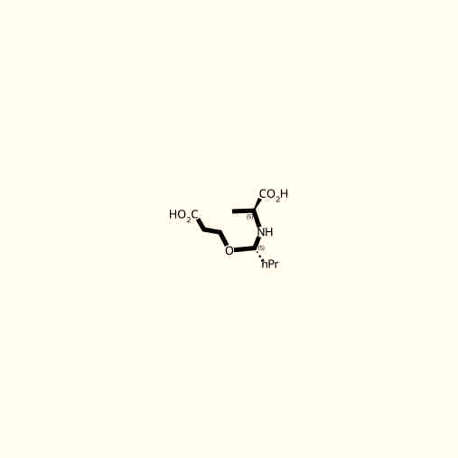 CCC[C@@H](N[C@@H](C)C(=O)O)OCCC(=O)O